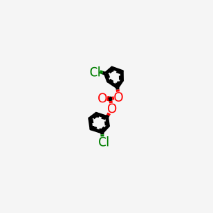 O=C(Oc1cccc(Cl)c1)Oc1cccc(Cl)c1